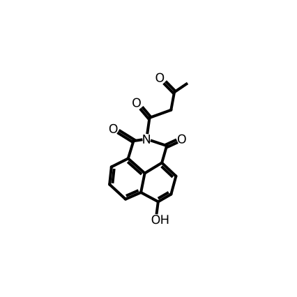 CC(=O)CC(=O)N1C(=O)c2cccc3c(O)ccc(c23)C1=O